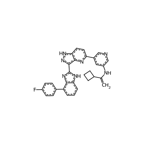 C=C(Nc1cncc(-c2ccc3[nH]nc(-c4nc5c(-c6ccc(F)cc6)cccc5[nH]4)c3n2)c1)C1CCC1